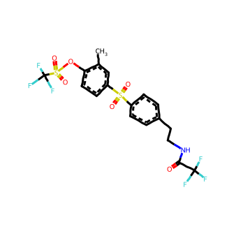 Cc1cc(S(=O)(=O)c2ccc(CCNC(=O)C(F)(F)F)cc2)ccc1OS(=O)(=O)C(F)(F)F